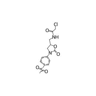 CS(=O)(=O)c1ccc(N2CC(CNC(=O)CCl)OC2=O)cc1